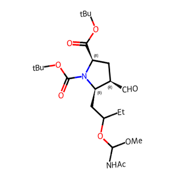 CCC(C[C@@H]1[C@H](C=O)C[C@H](C(=O)OC(C)(C)C)N1C(=O)OC(C)(C)C)OC(NC(C)=O)OC